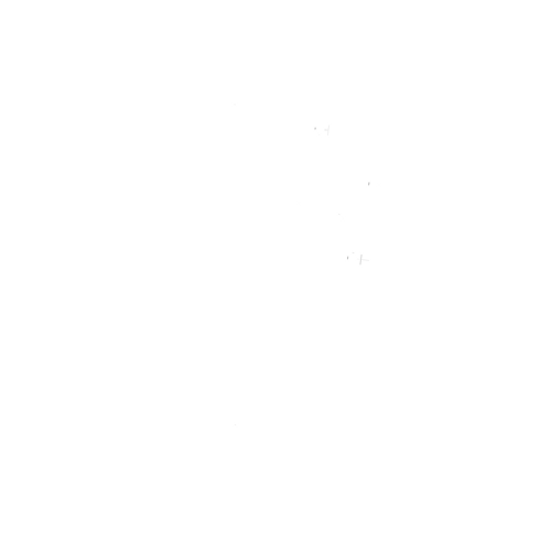 CC(C)(C)c1ccc(Cc2cc(C(=O)O)c(O)c(C(C)(C)C)c2)cc1